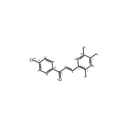 Cc1nc(C)c(/C=C/C(=O)c2ccc(Cl)cc2)nc1C